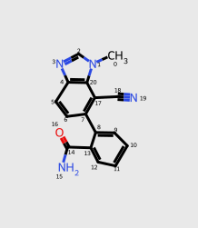 Cn1cnc2ccc(-c3ccccc3C(N)=O)c(C#N)c21